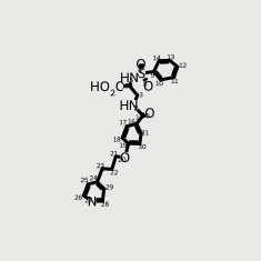 O=C(NCC(NS(=O)(=O)c1ccccc1)C(=O)O)c1ccc(OCCCc2ccncc2)cc1